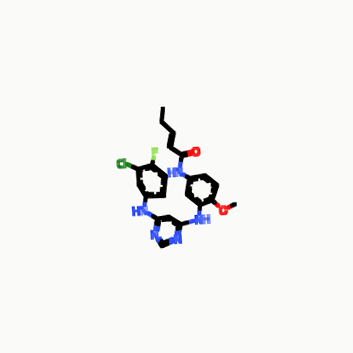 CC/C=C/C(=O)Nc1ccc(OC)c(Nc2cc(Nc3ccc(F)c(Cl)c3)ncn2)c1